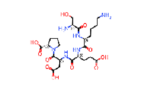 NCCCC[C@H](NC(=O)[C@@H](N)CO)C(=O)N[C@@H](CCC(=O)O)C(=O)N[C@@H](CC(=O)O)C(=O)N1CCC[C@H]1C(=O)O